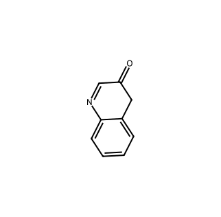 O=C1C=Nc2ccccc2C1